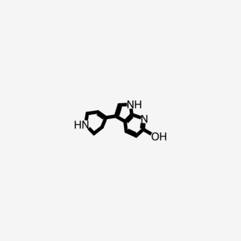 Oc1ccc2c(C3=CCNCC3)c[nH]c2n1